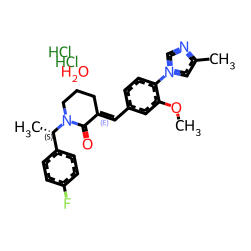 COc1cc(/C=C2\CCCN([C@@H](C)c3ccc(F)cc3)C2=O)ccc1-n1cnc(C)c1.Cl.Cl.O